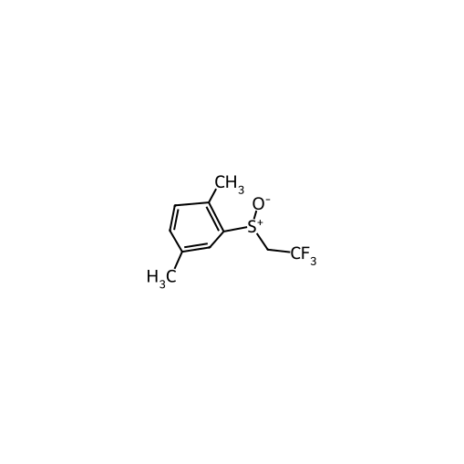 Cc1ccc(C)c([S+]([O-])CC(F)(F)F)c1